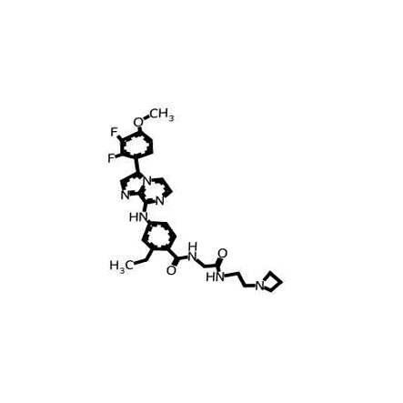 CCc1cc(Nc2nccn3c(-c4ccc(OC)c(F)c4F)cnc23)ccc1C(=O)NCC(=O)NCCN1CCC1